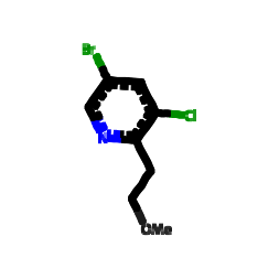 COCCc1ncc(Br)cc1Cl